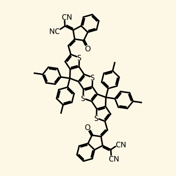 Cc1ccc(C2(c3ccc(C)cc3)c3cc(/C=C4\C(=O)c5ccccc5C4=C(C#N)C#N)sc3-c3sc4c5c(sc4c32)-c2sc(/C=C3\C(=O)c4ccccc4C3=C(C#N)C#N)cc2C5(c2ccc(C)cc2)c2ccc(C)cc2)cc1